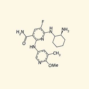 COc1ncc(Nc2nc(NC3CCCC[C@@H]3N)c(F)cc2C(N)=O)cc1C